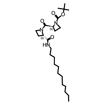 CCCCCCCCCCCCNC(=O)[C@@H]1CCN1C(=O)[C@@H]1CCN1C(=O)OC(C)(C)C